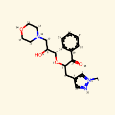 Cn1cc(CC(OCC(O)CN2CCOCC2)C(=O)c2ccccc2)cn1